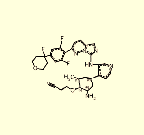 C[C@H]1C[C@@H](c2ccncc2Nc2ncc3ccc(-c4c(F)cc(C5(F)CCOCC5)cc4F)nn23)C[C@@H](N)[C@H]1OCCC#N